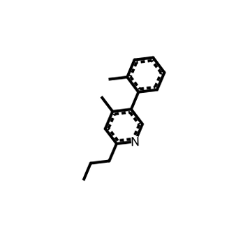 CCCc1cc(C)c(-c2ccccc2C)cn1